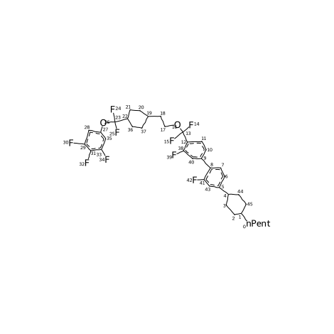 CCCCCC1CCC(c2ccc(-c3ccc(C(F)(F)OCCC4CCC(C(F)(F)Oc5cc(F)c(F)c(F)c5)CC4)c(F)c3)c(F)c2)CC1